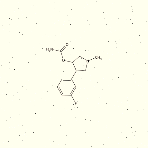 CN1CC(OC(N)=O)C(c2cccc(F)c2)C1